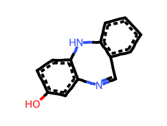 Oc1ccc2c(c1)N=Cc1ccccc1N2